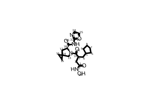 O=C(CC(CC1CCCC1)C(=O)N1CC2(CC2)C[C@H]1C(=O)Nc1ncco1)NO